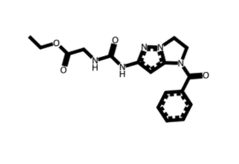 CCOC(=O)CNC(=O)Nc1cc2n(n1)CCN2C(=O)c1ccccc1